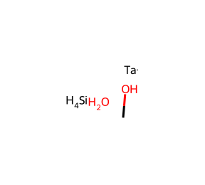 CO.O.[SiH4].[Ta]